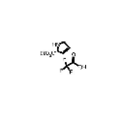 CCOC(=O)[C@H]1C=CCN1.O=C(O)C(F)(F)F